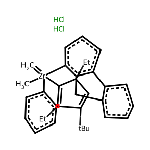 Cl.Cl.[CH2]=[Zr]([CH3])([C]1=C(CC)C(C(C)(C)C)=CC1CC)([c]1ccccc1)[c]1cccc2c1Cc1ccccc1-2